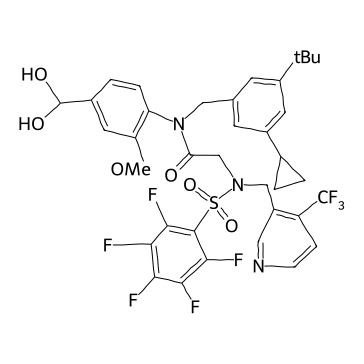 COc1cc(C(O)O)ccc1N(Cc1cc(C2CC2)cc(C(C)(C)C)c1)C(=O)CN(Cc1cnccc1C(F)(F)F)S(=O)(=O)c1c(F)c(F)c(F)c(F)c1F